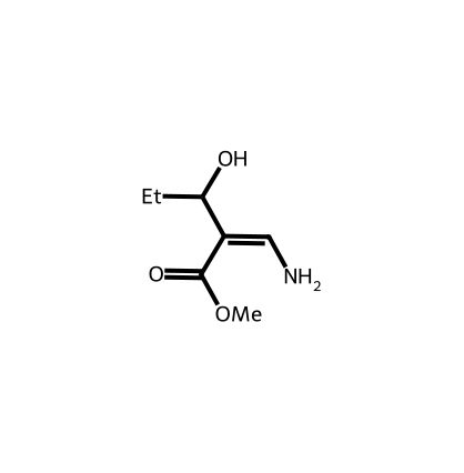 CCC(O)C(=CN)C(=O)OC